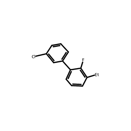 CCc1cccc(-c2cccc(Cl)c2)c1F